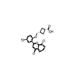 COc1ccc(OC[C@H]2C[C@@H](C(=O)O)C2)c(-c2cc(=O)c3cccc(Cl)c3o2)c1